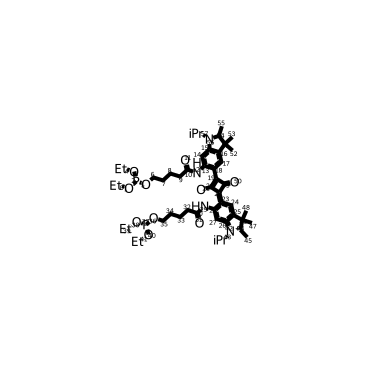 CCOP(OCC)OCCCCC(=O)Nc1cc2c(cc1C1=C([O-])/C(=c3/cc4c(cc3NC(=O)CCCCOP(OCC)OCC)=[N+](C(C)C)C(C)C4(C)C)C1=O)C(C)(C)C(C)N2C(C)C